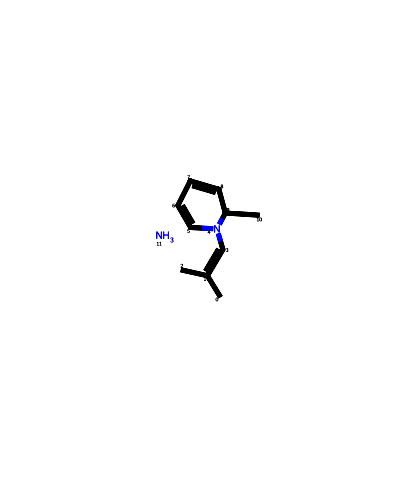 CC(C)=CN1C=CC=CC1C.N